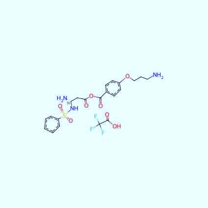 NCCCOc1ccc(C(=O)OC(=O)C[C@@H](N)NS(=O)(=O)c2ccccc2)cc1.O=C(O)C(F)(F)F